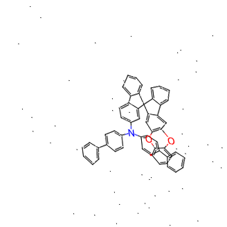 c1ccc(-c2ccc(N(c3ccc(-c4ccccc4)cc3)c3ccc4c(c3)C3(c5ccccc5-4)c4ccccc4-c4cc5c(cc43)Oc3ccccc3O5)cc2)cc1